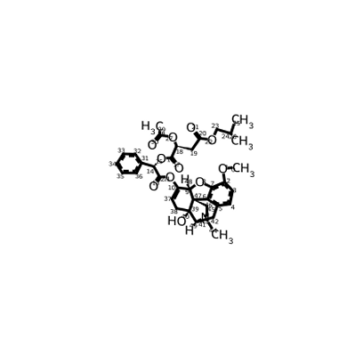 COc1ccc2c3c1O[C@H]1C(OC(=O)[C@@H](OC(=O)[C@H](CC(=O)OCC(C)C)OC(C)=O)c4ccccc4)=CC[C@@]4(O)[C@@H](C2)N(C)CC[C@]314